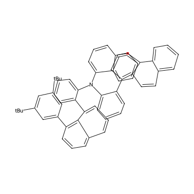 CC(C)(C)c1cc(-c2cccc3cccc(-c4ccccc4N(c4ccccc4-c4cccc5c4ccc4ccccc45)c4cccc5ccccc45)c23)cc(C(C)(C)C)c1